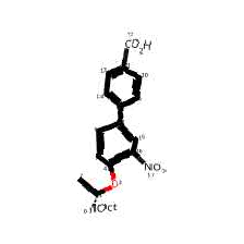 CCCCCCCC[C@H](C)Oc1ccc(-c2ccc(C(=O)O)cc2)cc1[N+](=O)[O-]